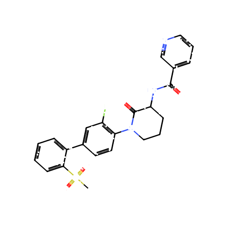 CS(=O)(=O)c1ccccc1-c1ccc(N2CCCC(NC(=O)c3cccnc3)C2=O)c(F)c1